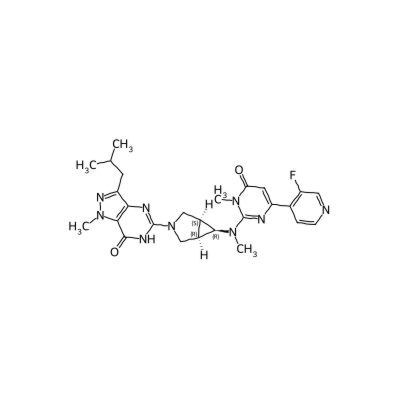 CC(C)Cc1nn(C)c2c(=O)[nH]c(N3C[C@@H]4[C@H](C3)[C@@H]4N(C)c3nc(-c4ccncc4F)cc(=O)n3C)nc12